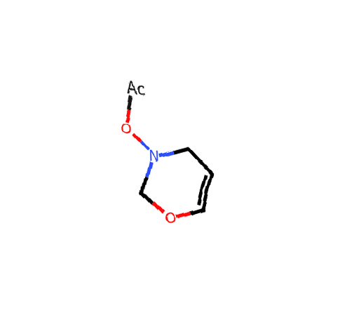 CC(=O)ON1CC=COC1